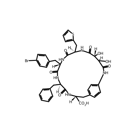 O=C1N[C@H](Cc2ccccc2)C(=O)N[C@@H](C(=O)O)Cc2ccc(cc2)NC(=O)[C@H](O)[C@@H](O)C(=O)N[C@H](Cc2cccs2)C(=O)N[C@H]1Cc1ccc(Br)cc1